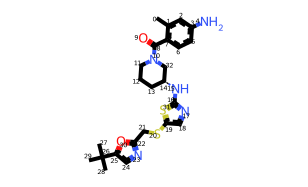 Cc1cc(N)ccc1C(=O)N1CCC[C@@H](Nc2ncc(SCc3ncc(C(C)(C)C)o3)s2)C1